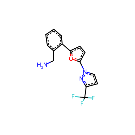 NCc1ccccc1-c1ccc(-n2ccc(C(F)(F)F)n2)o1